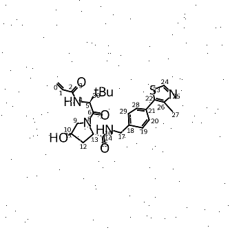 C=CC(=O)N[C@H](C(=O)N1C[C@H](O)C[C@H]1C(=O)NCc1ccc(-c2scnc2C)cc1)C(C)(C)C